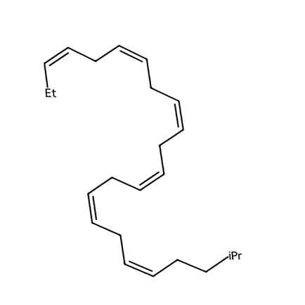 CC/C=C\C/C=C\C/C=C\C/C=C\C/C=C\C/C=C\CCC(C)C